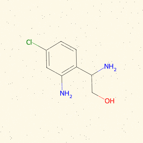 Nc1cc(Cl)ccc1C(N)CO